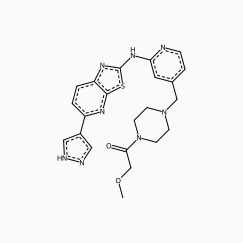 COCC(=O)N1CCN(Cc2ccnc(Nc3nc4ccc(-c5cn[nH]c5)nc4s3)c2)CC1